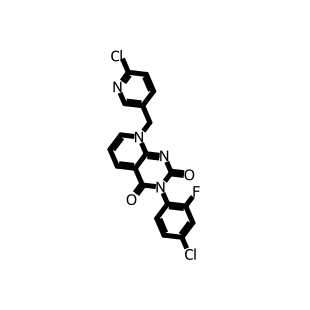 O=c1nc2n(Cc3ccc(Cl)nc3)cccc-2c(=O)n1-c1ccc(Cl)cc1F